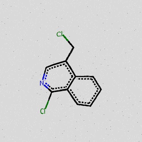 ClCc1cnc(Cl)c2ccccc12